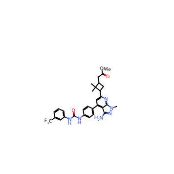 COC(=O)CC1CC(c2cc(-c3ccc(NC(=O)Nc4cccc(C(F)(F)F)c4)cc3)c3c(N)nn(C)c3n2)C1(C)C